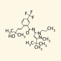 CCCn1c(=NC(=O)c2cc(C(F)(F)F)ccc2/C=C/C(C)(C)O)cc(C(C)(C)C)n1C